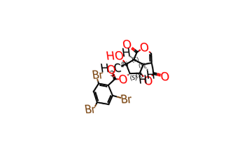 C[C@]1(O)[C@@H](OC(=O)c2c(Br)cc(Br)cc2Br)[C@H]2OC(=O)C3=COC(=O)[C@H]1[C@@H]32